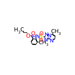 C=CCOC(=O)c1cccc(C)c1NS(=O)(=O)c1nc2nccc(C)n2n1